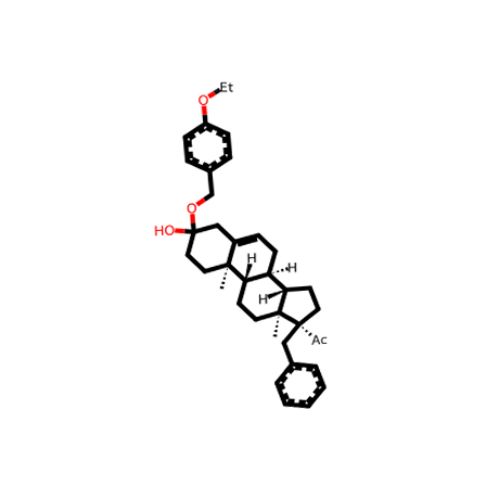 CCOc1ccc(COC2(O)CC[C@@]3(C)C(=CC[C@@H]4[C@@H]3CC[C@@]3(C)[C@H]4CC[C@]3(Cc3ccccc3)C(C)=O)C2)cc1